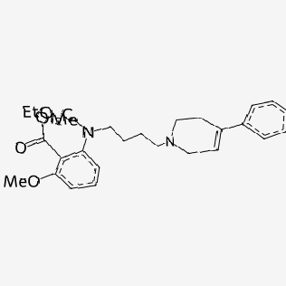 CCOC(=O)N(CCCCN1CC=C(c2ccccc2)CC1)c1cccc(OC)c1C(=O)OC